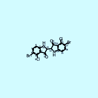 O=C1c2c(ccc(Br)c2Cl)NC1C1Nc2ccc(Br)c(Cl)c2C1=O